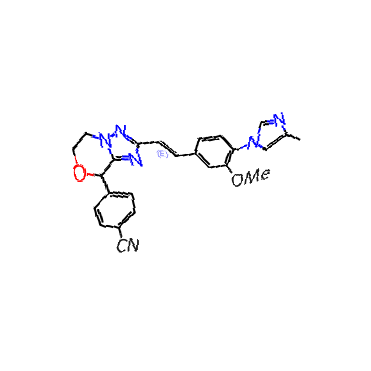 COc1cc(/C=C/c2nc3n(n2)CCOC3c2ccc(C#N)cc2)ccc1-n1cnc(C)c1